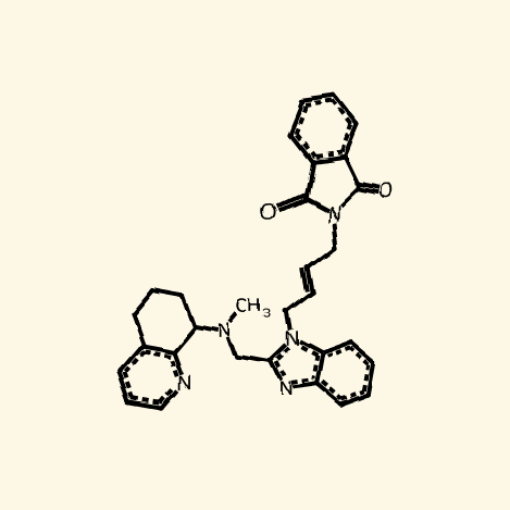 CN(Cc1nc2ccccc2n1CC=CCN1C(=O)c2ccccc2C1=O)C1CCCc2cccnc21